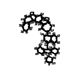 c1ccc(-c2c3ccccc3c(-c3ccc(-c4ccc5oc6cc7oc8ccc9ccccc9c8c7cc6c5c4)c4ccccc34)c3ccccc23)cc1